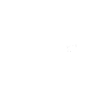 CCCCCCCCCOP(C)(=O)O